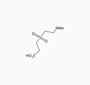 CNCCS(=O)(=O)CCS(=O)(=O)O